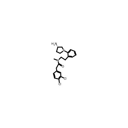 CN(CCc1ccccc1N1CC[C@H](N)C1)C(=O)Cc1ccc(Cl)c(Cl)c1